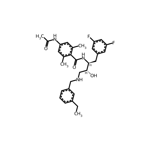 CCc1cccc(CNC[C@@H](O)[C@H](Cc2cc(F)cc(F)c2)NC(=O)c2c(C)cc(NC(C)=O)cc2C)c1